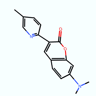 Cc1ccc(-c2cc3ccc(N(C)C)cc3oc2=O)nc1